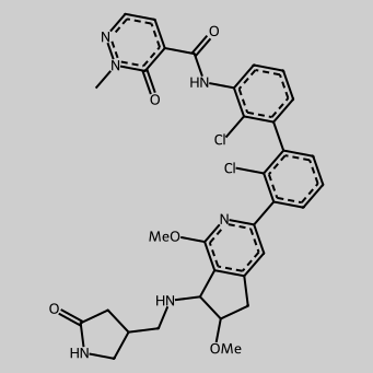 COc1nc(-c2cccc(-c3cccc(NC(=O)c4ccnn(C)c4=O)c3Cl)c2Cl)cc2c1C(NCC1CNC(=O)C1)C(OC)C2